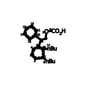 CCCCc1cccc(C(COC(=O)O)c2ccccc2)c1CCCC